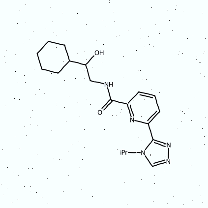 CC(C)n1cnnc1-c1cccc(C(=O)NCC(O)C2CCCCC2)n1